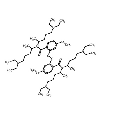 CCN(CC)CCCC(C)N(C(=O)c1ccc(OC)cc1SSc1cc(OC)ccc1C(=O)N(C(C)CCCN(CC)CC)C(C)CCCN(CC)CC)C(C)CCCN(CC)CC